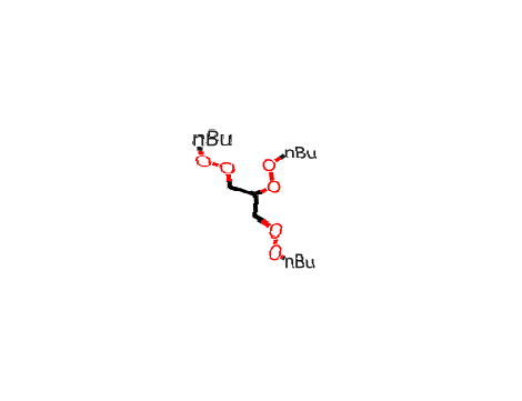 CCCCOOCC(COOCCCC)OOCCCC